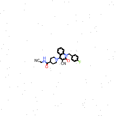 N#CCNC(=O)C1CCN(c2c(C#N)c(=O)n(Cc3ccc(F)cc3)c3ccccc23)CC1